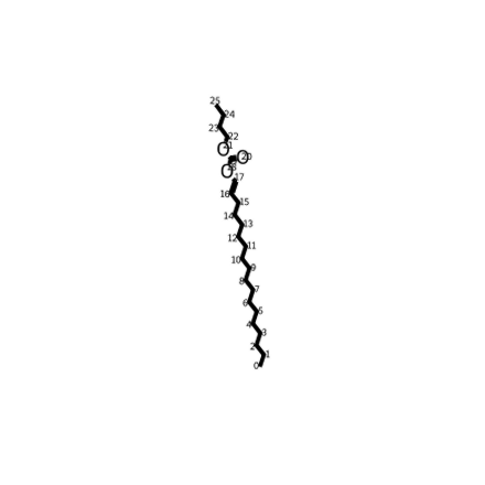 CCCCCCCCCCCCCCCC/C=C/OC(=O)OCCCC